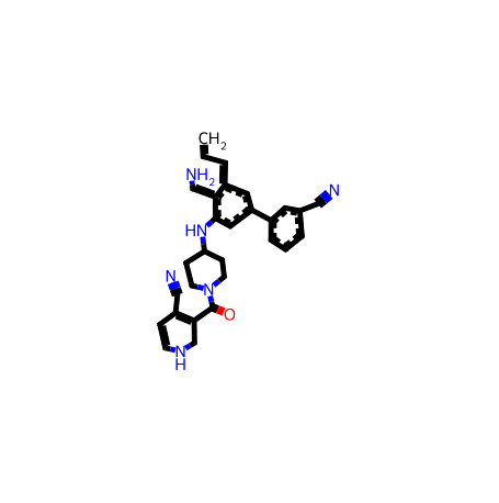 C=C/C=c1/cc(-c2cccc(C#N)c2)cc(NC2CCN(C(=O)C3=C(C#N)C=CNC3)CC2)/c1=C/N